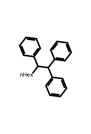 CCCCCCC([C](c1ccccc1)c1ccccc1)c1ccccc1